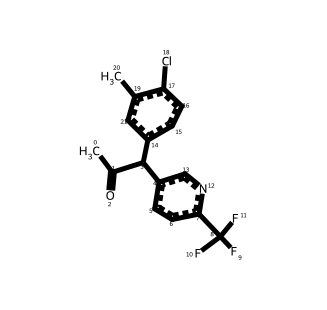 CC(=O)C(c1ccc(C(F)(F)F)nc1)c1ccc(Cl)c(C)c1